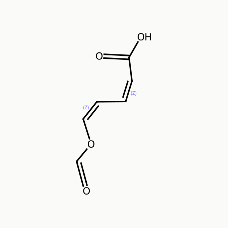 O=CO/C=C\C=C/C(=O)O